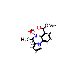 COC(=O)c1cccc(-n2cccc2C(C)=NO)c1